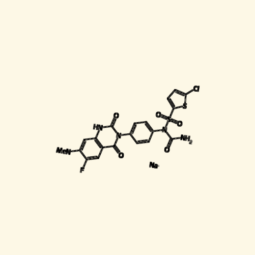 CNc1cc2[nH]c(=O)n(-c3ccc(N(C(N)=O)S(=O)(=O)c4ccc(Cl)s4)cc3)c(=O)c2cc1F.[Na]